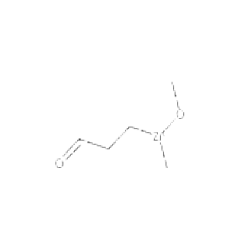 C[O][Zn]([CH3])[CH2]CC=O